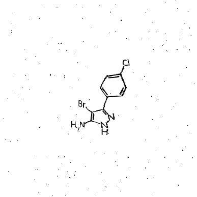 Nc1[nH]nc(-c2ccc(Cl)cc2)c1Br